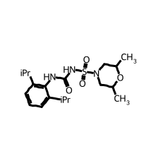 CC1CN(S(=O)(=O)NC(=O)Nc2c(C(C)C)cccc2C(C)C)CC(C)O1